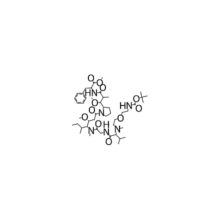 CCC(C)C(C(CC(=O)N1CCCC1C(OC)C(C)C(=O)NC(Cc1ccccc1)C(=O)OC)OC)N(C)C(=O)CNC(=O)C(C(C)C)N(C)CCOCCNC(=O)OC(C)(C)C